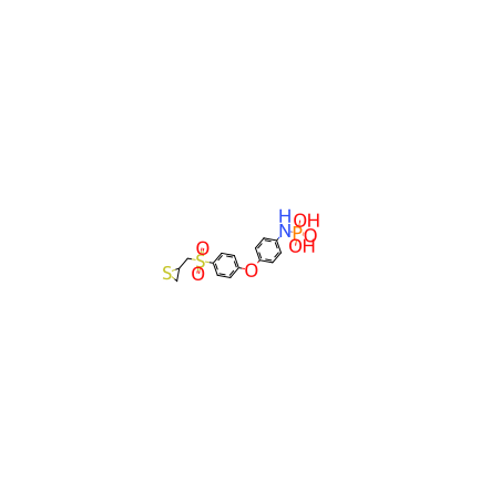 O=P(O)(O)Nc1ccc(Oc2ccc(S(=O)(=O)CC3CS3)cc2)cc1